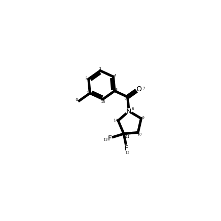 Cc1cccc(C(=O)N2CCC(F)(F)C2)c1